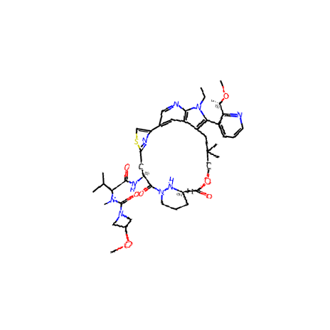 CCn1c(-c2cccnc2[C@H](C)OC)c2c3cc(cnc31)-c1csc(n1)C[C@H](NC(=O)C(C(C)C)N(C)C(=O)N1CC(OC)C1)C(=O)N1CCC[C@H](N1)C(=O)OCC(C)(C)C2